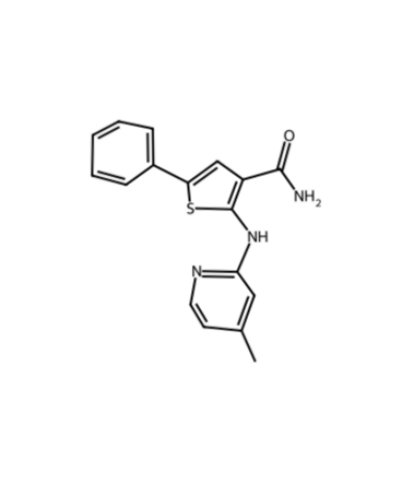 Cc1ccnc(Nc2sc(-c3ccccc3)cc2C(N)=O)c1